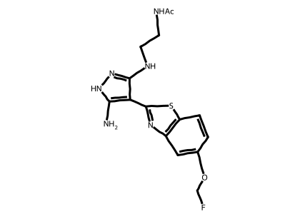 CC(=O)NCCNc1n[nH]c(N)c1-c1nc2cc(OCF)ccc2s1